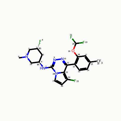 CN1C[C@H](F)C[C@@H](Nc2nnc(-c3ccc(C(F)(F)F)cc3OC(F)F)c3c(F)ccn23)C1